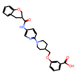 O=C(O)c1cccc(OCC2CCN(c3ccc(NC(=O)C4COc5ccccc5C4)cn3)CC2)c1